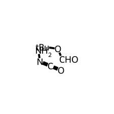 CC(C)(C)OC=O.NN=C=O